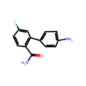 NC(=O)c1ccc(F)cc1-c1ccc(N)cc1